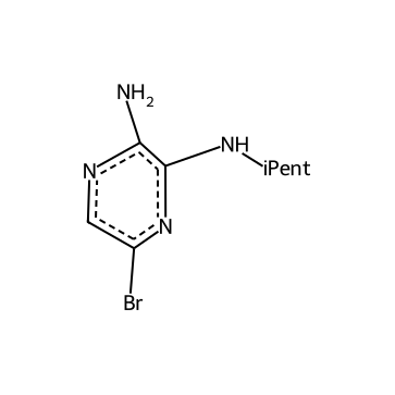 CCCC(C)Nc1nc(Br)cnc1N